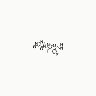 CNCCC(Oc1cnc(CN2CCN(C)c3cnc(OC)cc3C2=O)c(F)c1)c1cccc(F)c1